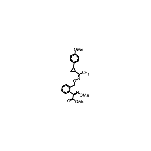 CON=C(C(=O)OC)c1ccccc1CON=C(C)C1CC1c1ccc(OC)cc1